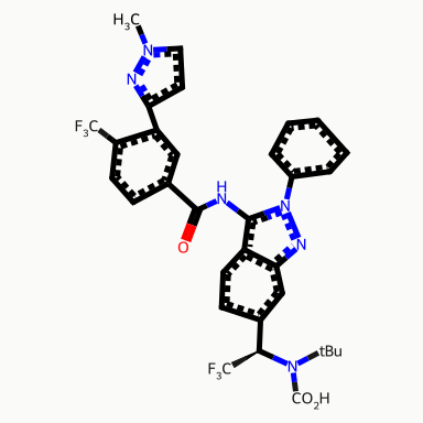 Cn1ccc(-c2cc(C(=O)Nc3c4ccc([C@@H](N(C(=O)O)C(C)(C)C)C(F)(F)F)cc4nn3-c3ccccc3)ccc2C(F)(F)F)n1